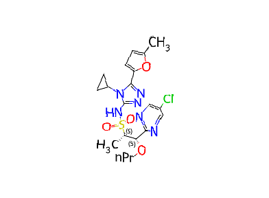 CCCO[C@@H](c1ncc(Cl)cn1)[C@H](C)S(=O)(=O)Nc1nnc(-c2ccc(C)o2)n1C1CC1